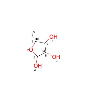 C[C@H]1OC(O)[C@@H](O)C1O